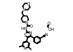 Cc1cc(-c2sc(NC(=O)N3CCC(CN4CCOCC4)CC3)nc2-c2cccc(C#N)c2)cc(C)n1.O=CO